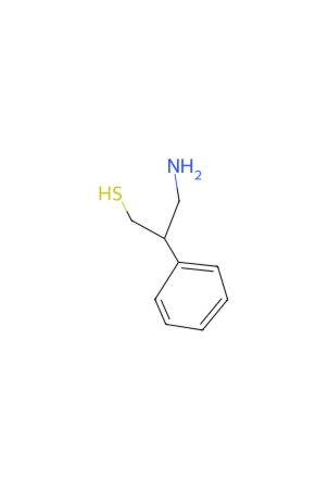 NCC(CS)c1ccccc1